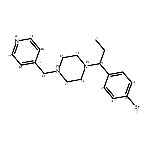 CCC(c1ccc(Br)cc1)N1CCN(Cc2ccncc2)CC1